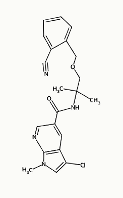 Cn1cc(Cl)c2cc(C(=O)NC(C)(C)COCc3ccccc3C#N)cnc21